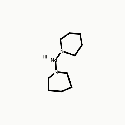 C1CC[N]([Nd][N]2CCCCC2)CC1.I